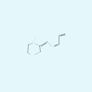 C=C/C=N\C=C1/COCCN1